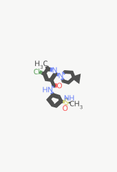 Cc1nc(N2CCC3(CC2)CC3)c(C(=O)Nc2cccc([S@](C)(=N)=O)c2)cc1Cl